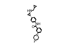 CN1CCN(c2cccc(C(=O)Nc3ccc([C@@H]4C[C@H]4NCC4CC4)cc3)c2)CC1